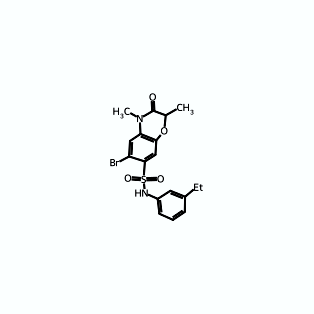 CCc1cccc(NS(=O)(=O)c2cc3c(cc2Br)N(C)C(=O)C(C)O3)c1